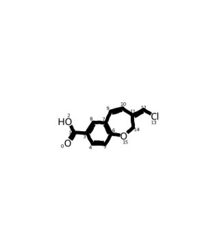 O=C(O)c1ccc2c(c1)C=C/C(=C/Cl)CO2